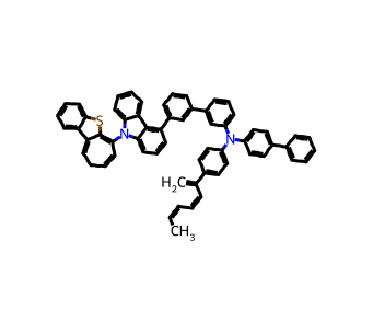 C=C(/C=C\C=C/C)c1ccc(N(c2ccc(-c3ccccc3)cc2)c2cccc(-c3cccc(-c4cccc5c4c4ccccc4n5C4=c5sc6ccccc6c5=CCC=C4)c3)c2)cc1